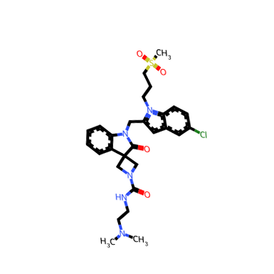 CN(C)CCNC(=O)N1CC2(C1)C(=O)N(Cc1cc3cc(Cl)ccc3n1CCCS(C)(=O)=O)c1ccccc12